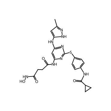 Cc1cc(Nc2cc(NC(=O)CCC(=O)NO)nc(Sc3ccc(NC(=O)C4CC4)cc3)n2)[nH]n1